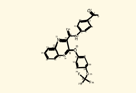 CC(=O)c1ccc(NC(=O)c2nc3ccccc3nc2Oc2ccc(OC(F)(F)F)cc2)cc1